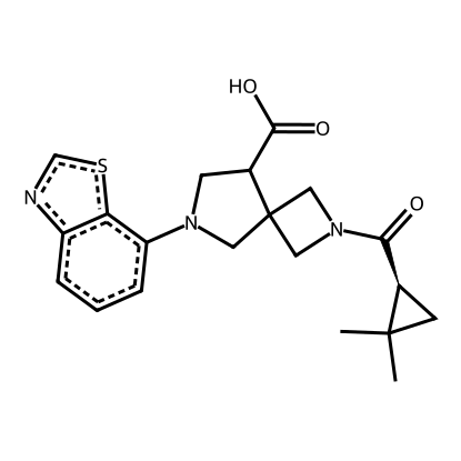 CC1(C)C[C@@H]1C(=O)N1CC2(C1)CN(c1cccc3ncsc13)CC2C(=O)O